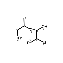 CC(C)CC(C)O.CCC(CC)CO